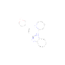 C(=C\c1nc2ccccc2n1-c1ccccn1)/c1ccoc1